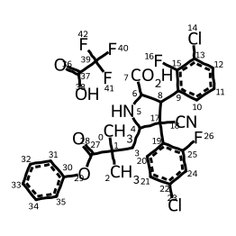 CC(C)(CC1NC(C(=O)O)C(c2cccc(Cl)c2F)C1(C#N)c1ccc(Cl)cc1F)C(=O)Oc1ccccc1.O=C(O)C(F)(F)F